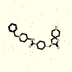 O=C1OC2(CCNCC2)CN1C[C@H]1CC[C@H](C(=O)NC2CCN(Cc3ccccc3)CC2)CC1